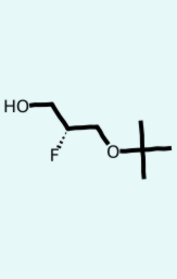 CC(C)(C)OC[C@H](F)CO